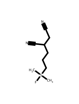 CS(C)(F)CCCC(C#N)CC#N